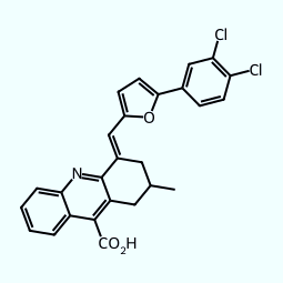 CC1C/C(=C\c2ccc(-c3ccc(Cl)c(Cl)c3)o2)c2nc3ccccc3c(C(=O)O)c2C1